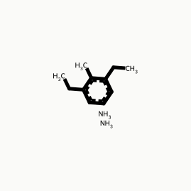 CCc1cccc(CC)c1C.N.N